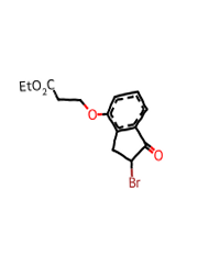 CCOC(=O)CCOc1cccc2c1CC(Br)C2=O